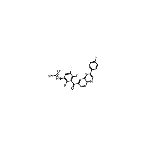 CCC[S+]([O-])Nc1cc(F)c(F)c(C(=O)c2ccc3ncc(-c4ccc(F)cc4)nc3c2)c1F